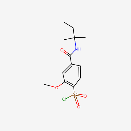 CCC(C)(C)NC(=O)c1ccc(S(=O)(=O)Cl)c(OC)c1